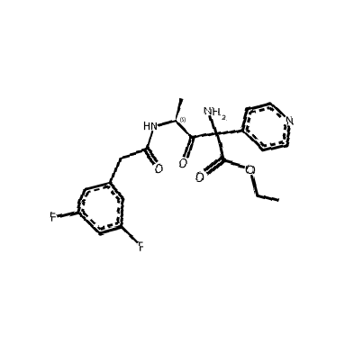 CCOC(=O)C(N)(C(=O)[C@H](C)NC(=O)Cc1cc(F)cc(F)c1)c1ccncc1